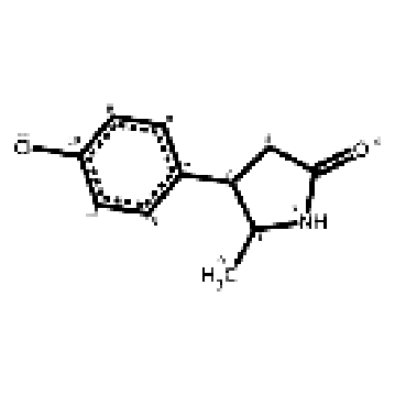 CC1NC(=O)CC1c1ccc(Cl)cc1